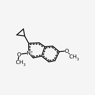 COc1ccc2c[n+](OC)c(C3CC3)cc2c1